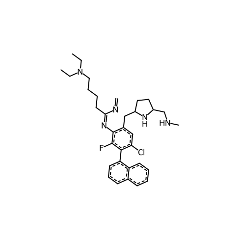 C=N/C(CCCCN(CC)CC)=N\c1c(CC2CCC(CNC)N2)cc(Cl)c(-c2cccc3ccccc23)c1F